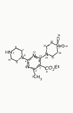 CCOC(=O)c1c(C)nc(N2CCNCC2)nc1N1CCS(=O)(=O)CC1